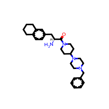 N[C@H](Cc1ccc2c(c1)CCCC2)C(=O)N1CCC(N2CCN(Cc3ccccc3)CC2)CC1